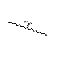 CCCCCCCCCCCCCCCCCCN.O=C(O)O